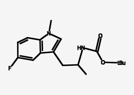 CC(Cc1cn(C)c2ccc(F)cc12)NC(=O)OC(C)(C)C